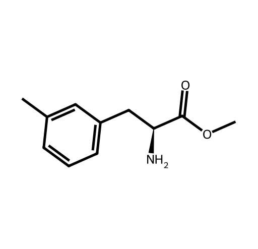 COC(=O)[C@@H](N)Cc1cccc(C)c1